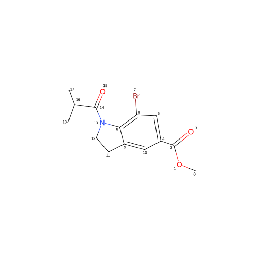 COC(=O)c1cc(Br)c2c(c1)CCN2C(=O)C(C)C